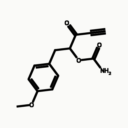 C#CC(=O)C(Cc1ccc(OC)cc1)OC(N)=O